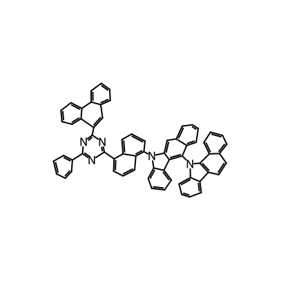 c1ccc(-c2nc(-c3cccc4c(-n5c6ccccc6c6c(-n7c8ccccc8c8ccc9ccccc9c87)c7ccccc7cc65)cccc34)nc(-c3cc4ccccc4c4ccccc34)n2)cc1